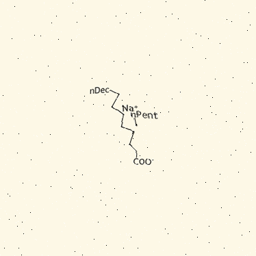 CCCCCC.CCCCCCCCCCCCCCCCCC(=O)[O-].[Na+]